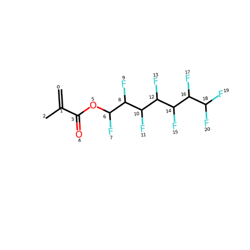 C=C(C)C(=O)OC(F)C(F)C(F)C(F)C(F)C(F)C(F)F